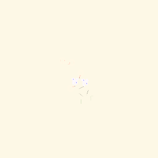 CCOC(=O)CCCn1c(=O)c2cc(F)c(F)cc2n(C2CCCC2)c1=O